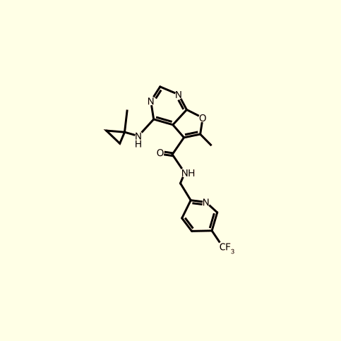 Cc1oc2ncnc(NC3(C)CC3)c2c1C(=O)NCc1ccc(C(F)(F)F)cn1